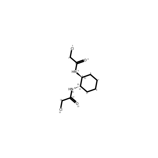 O=C(CCl)N[C@H]1CCCC[C@@H]1NC(=O)CCl